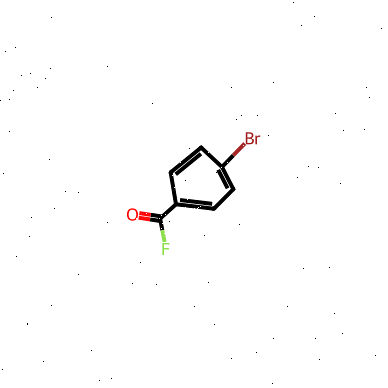 O=C(F)c1ccc(Br)cc1